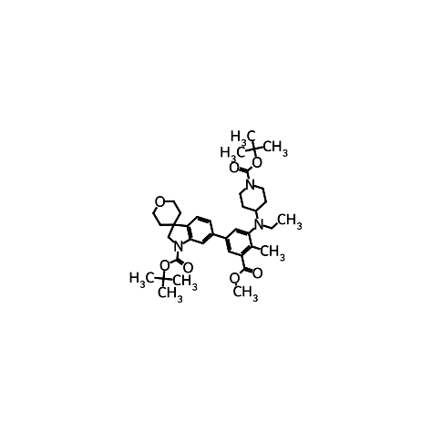 CCN(c1cc(-c2ccc3c(c2)N(C(=O)OC(C)(C)C)CC32CCOCC2)cc(C(=O)OC)c1C)C1CCN(C(=O)OC(C)(C)C)CC1